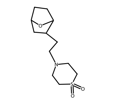 O=S1(=O)CCN(CCC2CC3CCC2O3)CC1